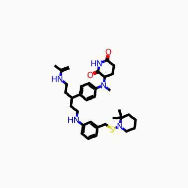 C=C(C)NCCC(CCNc1cccc(CSN2CCCCC2(C)C)c1)c1ccc(N(C)C2CCC(=O)NC2=O)cc1